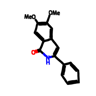 COc1cc2cc(-c3ccccc3)[nH]c(=O)c2cc1OC